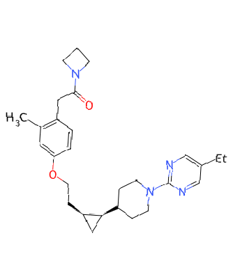 CCc1cnc(N2CCC([C@H]3C[C@H]3CCOc3ccc(CC(=O)N4CCC4)c(C)c3)CC2)nc1